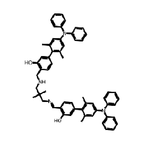 Cc1cc(N(c2ccccc2)c2ccccc2)cc(C)c1-c1ccc(/C=N/CC(C)(C)CNCc2ccc(-c3c(C)cc(N(c4ccccc4)c4ccccc4)cc3C)cc2O)c(O)c1